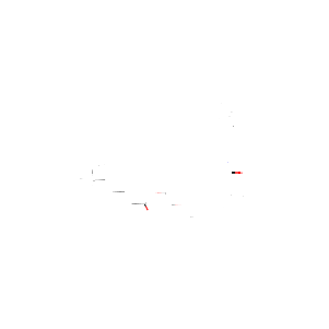 CO[Si](C)(C)CCCCC(=O)OC(C)COCC(C)OCC(C)OC(=O)NCCC[Si](C)(CO)OC